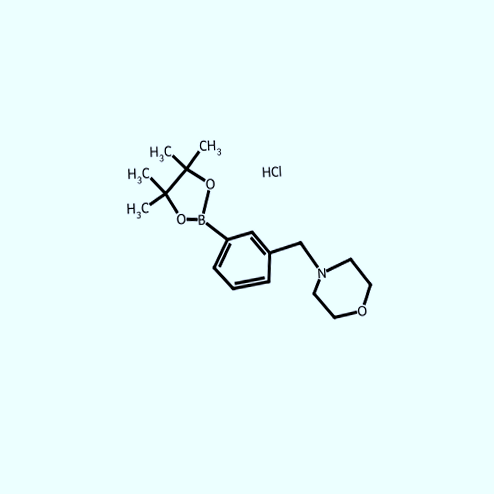 CC1(C)OB(c2cccc(CN3CCOCC3)c2)OC1(C)C.Cl